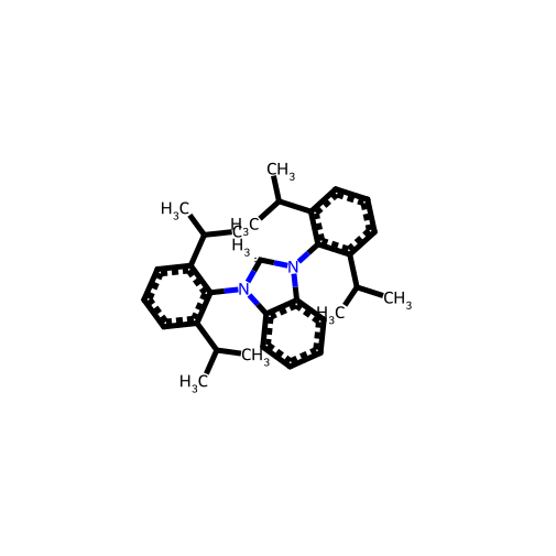 CC(C)c1cccc(C(C)C)c1N1[C]N(c2c(C(C)C)cccc2C(C)C)c2ccccc21